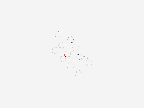 c1ccc(-c2ccc(-c3ccc(-c4ccccc4)cc3N(c3ccc4c(c3)C(c3ccccc3)(c3ccccc3)c3cc(-c5ccccc5)ccc3-4)c3ccc4sc5ccccc5c4c3)cc2)cc1